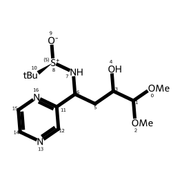 COC(OC)C(O)CC(N[S@+]([O-])C(C)(C)C)c1cnccn1